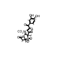 C[C@]1(c2cc(C(=O)c3ccc(O)c(O)c3)on2)[C@H](C(=O)O)N2C(=O)C[C@H]2S1(=O)=O